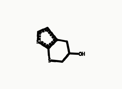 OC1CSc2sccc2C1